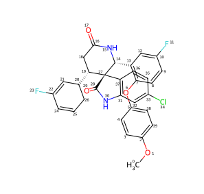 COc1ccc(Oc2ccc(F)cc2[C@H]2NC(=O)C[C@@H](C3C=C(F)C=CC3)[C@]23C(=O)Nc2cc(Cl)ccc23)cc1